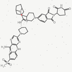 CS(=O)(=O)c1ccc(Nc2nc(N3CCC[C@@H](NC(=O)C4CC5CCC(C4)N5CC4CCN(c5ccc6c(c5)C(=O)N(C5CCC(=O)NC5=O)C6=O)CC4)C3)cnc2C(N)=O)cc1